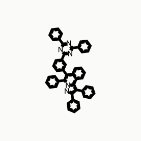 c1ccc(-c2nc(-c3ccccc3)nc(-c3cccc(-c4c(-c5ccccc5)n5nc(-c6ccccc6)c(-c6ccccc6)c5c5ccccc45)c3)n2)cc1